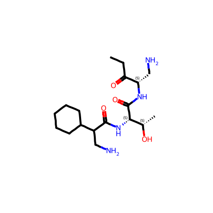 CCC(=O)[C@H](CN)NC(=O)[C@@H](NC(=O)C(CN)C1CCCCC1)[C@H](C)O